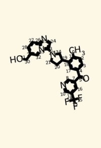 Cc1ccc(C(=O)c2cncc(C(F)(F)F)c2)cc1C1CCN(c2cnc3ccc(CO)cn23)C1